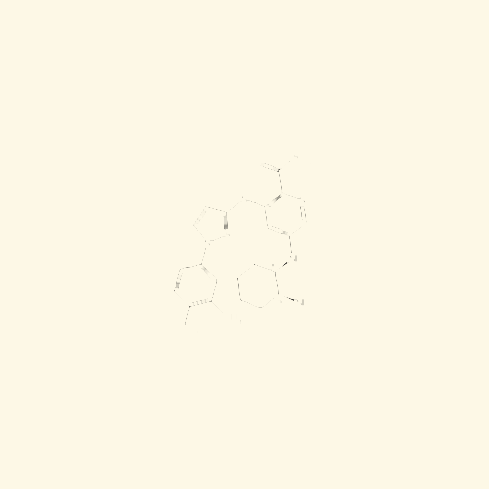 Cc1ccc(-n2ccc(Nc3cc(N[C@@H]4CCCC[C@@H]4N)cnc3C(N)=O)n2)cc1C